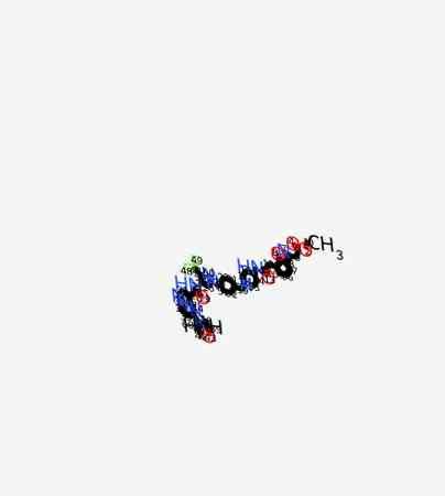 CCOC(=O)Cc1noc2c(CC(=O)NC3CCN(CC4CCC(n5cc(NC(=O)c6cnn7ccc(N8C[C@H]9C[C@@H]8CO9)nc67)c(C(F)F)n5)CC4)CC3)cccc12